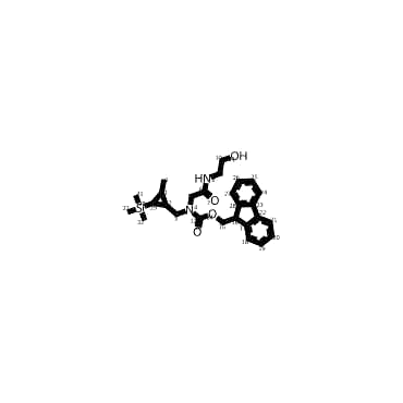 CC1C(CN(CC(=O)NCCO)C(=O)OCC2c3ccccc3-c3ccccc32)C1[Si](C)(C)C